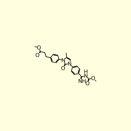 COC(=O)CCc1ccc(-n2c(C)cn(-c3ccc(C(=N)NC(=O)OC)cc3)c2=O)cc1